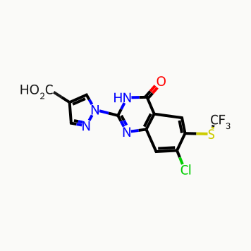 O=C(O)c1cnn(-c2nc3cc(Cl)c(SC(F)(F)F)cc3c(=O)[nH]2)c1